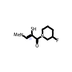 CN/C=C(\S)C(=O)N1CCCC(F)C1